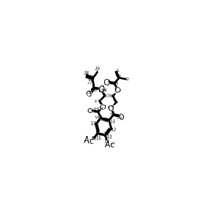 C=C(C)C(=O)OCCOC(=O)c1cc(C(C)=O)c(C(C)=O)cc1C(=O)OCCOC(=O)C(=C)C